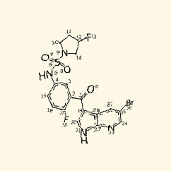 O=C(c1cc(NS(=O)(=O)N2CCC(F)C2)ccc1F)c1c[nH]c2ncc(Br)cc12